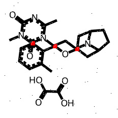 Cc1ccccc1COC1CC2CCC(C1)N2CCCn1c(C)nc(=O)n(C)c1=O.O=C(O)C(=O)O